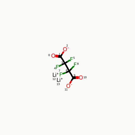 O=C([O-])C(F)(F)C(F)(F)C(=O)[O-].[Li+].[Li+]